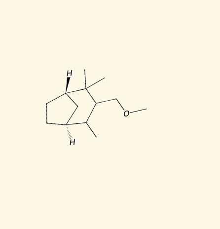 COCC1C(C)[C@H]2CC[C@@H](C2)C1(C)C